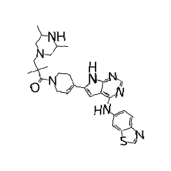 CC1CN(CC(C)(C)C(=O)N2CC=C(c3cc4c(Nc5ccc6ncsc6c5)ncnc4[nH]3)CC2)CC(C)N1